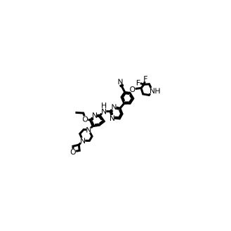 CCOc1nc(Nc2nccc(-c3ccc(OC4CCNCC4(F)F)c(C#N)c3)n2)ccc1N1CCN(C2COC2)CC1